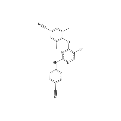 Cc1cc(C#N)cc(C)c1Oc1nc(Nc2ccc(C#N)cc2)ncc1Br